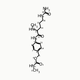 CNC(=O)OCc1ccc(NC(=O)C(CCCNC(N)=O)NC)cc1